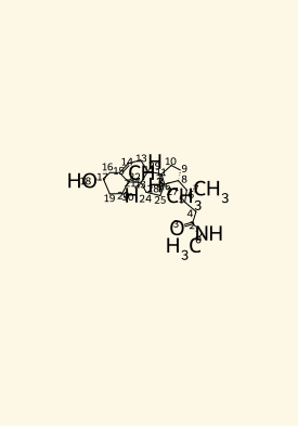 CNC(=O)CC[C@@H](C)[C@H]1CC[C@H]2[C@@H]3CC=C4C[C@@H](O)CC[C@]4(C)[C@H]3CC[C@]12C